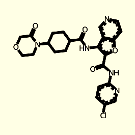 O=C(Nc1ccc(Cl)cn1)c1oc2ccncc2c1NC(=O)C1CCC(N2CCOCC2=O)CC1